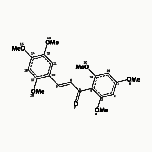 COc1cc(OC)c(C(=O)/C=C/c2cc(OC)c(OC)cc2OC)c(OC)c1